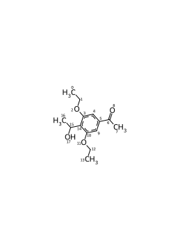 CCOc1cc(C(C)=O)cc(OCC)c1C(C)O